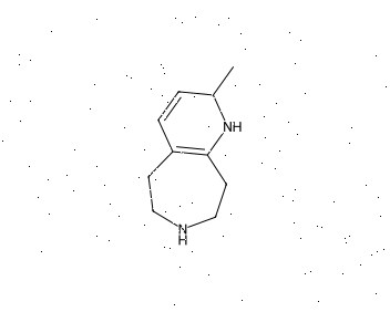 CC1C=CC2=C(CCNCC2)N1